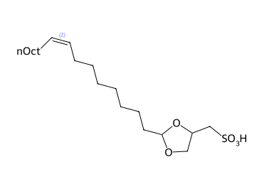 CCCCCCCC/C=C\CCCCCCCC1OCC(CS(=O)(=O)O)O1